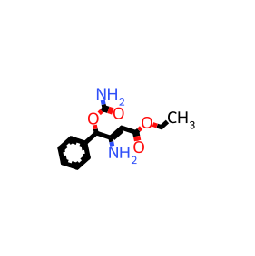 CCOC(=O)C=C(N)C(OC(N)=O)c1ccccc1